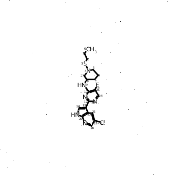 CCCSN1CCCC(Nc2nc(-c3c[nH]c4ncc(Cl)cc34)ncc2F)C1